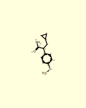 COc1ccc(C(CC2CC2)C(N)=O)cc1